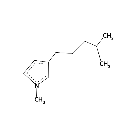 CC(C)CCCc1ccn(C)c1